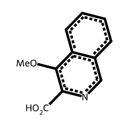 COc1c(C(=O)O)ncc2ccccc12